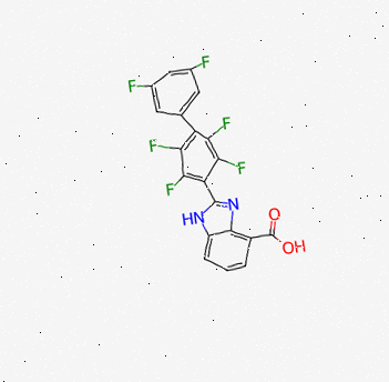 O=C(O)c1cccc2[nH]c(-c3c(F)c(F)c(-c4cc(F)cc(F)c4)c(F)c3F)nc12